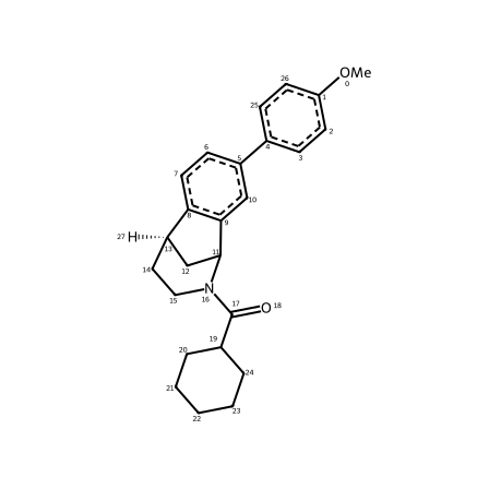 COc1ccc(-c2ccc3c(c2)C2C[C@H]3CCN2C(=O)C2CCCCC2)cc1